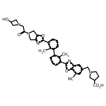 Cc1c(-c2nc3c(o2)CN(C(=O)CN2CC(O)C2)C3)cccc1-c1cccc(-c2nc3cc(CN4CCC(C(=O)O)C4)cc(C#N)c3o2)c1C